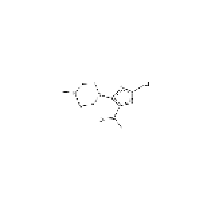 CC(=O)c1cc(Cl)sc1N1CCN(C)CC1